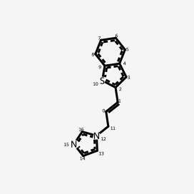 C(=C\c1cc2ccccc2s1)/Cn1ccnc1